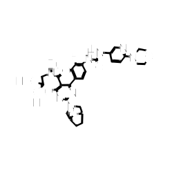 CCN1CC(C)(C)Oc2nc(N3CC4CCC(C3)O4)nc(-c3ccc(NC(=O)Nc4ccc(N5CCOCC5)nc4)c(F)c3)c2C1=O